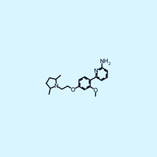 COc1cc(OCCN2C(C)CCC2C)ccc1-c1cccc(N)n1